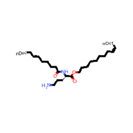 CCCCCCCC/C=C\CCCCCCCCOC(=O)[C@H](CCCN)NC(=O)CCCCCCCCCCCCCCCCC